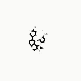 CCOc1ccc(-c2ccc3ncc4c(c3c2)n(-c2ccc(N(C)C)nc2C)c(=O)n4C)cn1